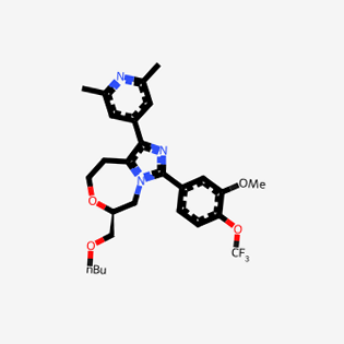 CCCCOC[C@@H]1Cn2c(-c3ccc(OC(F)(F)F)c(OC)c3)nc(-c3cc(C)nc(C)c3)c2CCO1